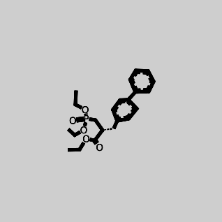 CCOC(=O)[C@@H](Cc1ccc(-c2ccccc2)cc1)CP(=O)(OCC)OCC